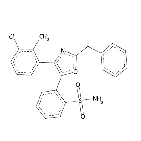 Cc1c(Cl)cccc1-c1nc(Cc2ccccc2)oc1-c1ccccc1S(N)(=O)=O